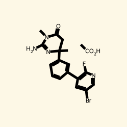 CC(=O)O.CN1C(=O)CC(C)(c2cccc(-c3cc(Br)cnc3F)c2)N=C1N